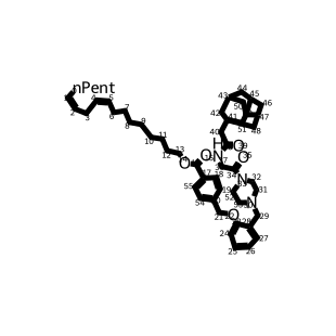 CCCCC/C=C\C/C=C\CCCCCCCCOC(=O)c1ccc(COc2ccccc2CN2CCN(C(=O)CNC(=O)CC34CC5CC6CC(C3)C6(C5)C4)CC2)cc1